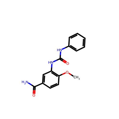 COc1ccc(C(N)=O)cc1NC(=O)Nc1ccccc1